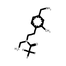 CCN(CCc1ccc(CN)cc1C)C(=O)C(F)(F)F